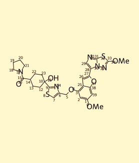 COc1cc(OCc2csc(C3(O)CCC(C(=O)N4CCCC4)CC3)n2)c2cc(-c3cnc4sc(OC)nn34)oc2c1